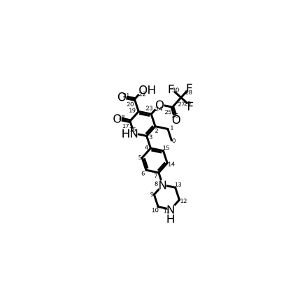 CCc1c(-c2ccc(N3CCNCC3)cc2)[nH]c(=O)c(C(=O)O)c1OC(=O)C(F)(F)F